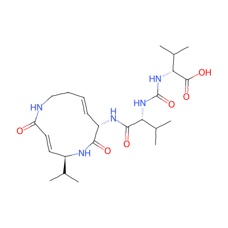 CC(C)[C@H]1/C=C/C(=O)NCC/C=C/[C@H](NC(=O)[C@H](NC(=O)N[C@@H](C(=O)O)C(C)C)C(C)C)C(=O)N1